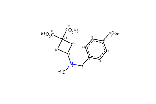 CCCCCCCCCCc1ccc(CN(C)C2CC(C(=O)OCC)(C(=O)OCC)C2)cc1